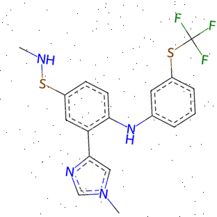 CNSc1ccc(Nc2cccc(SC(F)(F)F)c2)c(-c2cn(C)cn2)c1